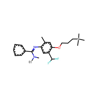 CCN(C)C(=Nc1cc(C(F)F)c(OCCC[Si](C)(C)C)cc1C)c1ccccc1